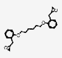 c1ccc(OCCCCCCOc2ccccc2CC2CO2)c(CC2CO2)c1